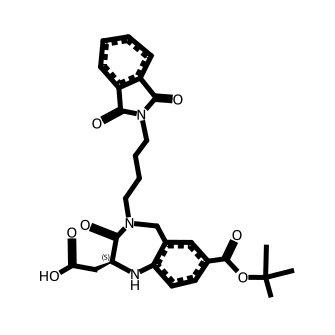 CC(C)(C)OC(=O)c1ccc2c(c1)CN(CCCCN1C(=O)c3ccccc3C1=O)C(=O)[C@H](CC(=O)O)N2